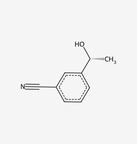 C[C@@H](O)c1cccc(C#N)c1